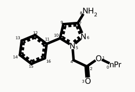 CCCOC(=O)Cn1nc(N)cc1-c1ccccc1